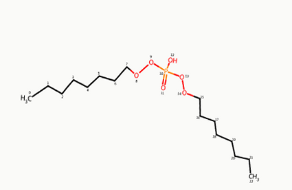 CCCCCCCCOOP(=O)(O)OOCCCCCCCC